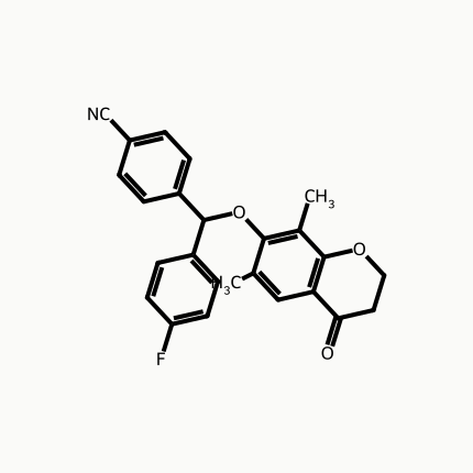 Cc1cc2c(c(C)c1OC(c1ccc(F)cc1)c1ccc(C#N)cc1)OCCC2=O